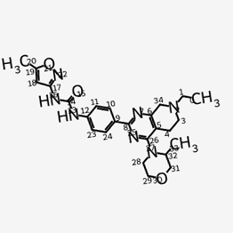 CCN1CCc2c(nc(-c3ccc(NC(=O)Nc4cc(C)on4)cc3)nc2N2CCOCC2C)C1